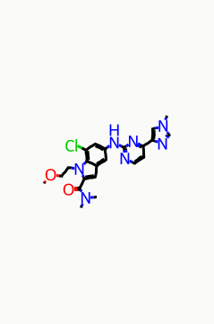 COCCn1c(C(=O)N(C)C)cc2cc(Nc3nccc(-c4cn(C)cn4)n3)cc(Cl)c21